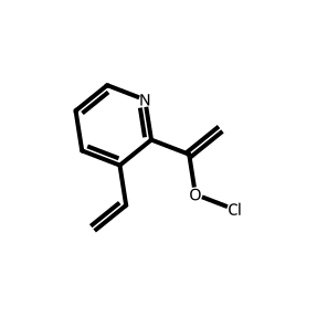 C=Cc1cccnc1C(=C)OCl